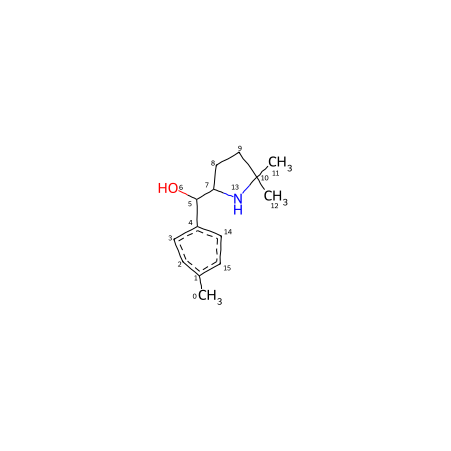 Cc1ccc(C(O)C2CCC(C)(C)N2)cc1